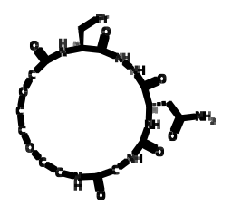 CC(C)C[C@@H]1NC(=O)COCCOCCNC(=O)CNC(=O)N[C@@H](CC(N)=O)C(=O)NNC1=O